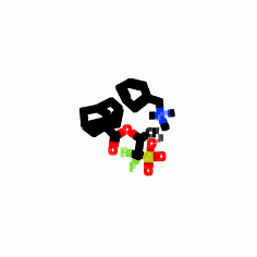 C[N+](C)(C)Cc1ccccc1.O=C(OC(C(F)(F)F)C(F)(F)S(=O)(=O)[O-])C12CC3CC(CC(C3)C1)C2